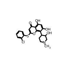 CN1CCC(c2c(O)cc(O)c3c(=O)cc(Sc4ccccc4Cl)oc23)C(O)C1